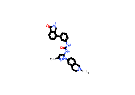 CN1CCc2cc(-n3nc(C(C)(C)C)cc3NC(=O)Nc3cccc(-c4cccc5c4CNC5=O)c3)ccc2C1